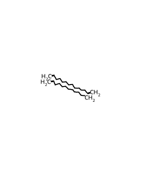 C=CCCCCCCCCCC=C.C=CCCCCCCCCCCC=C